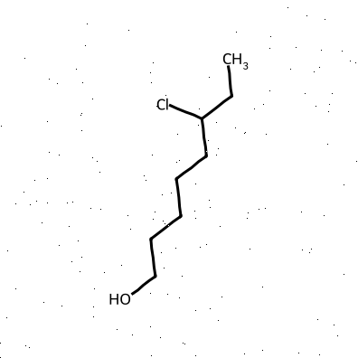 CCC(Cl)CCCCCO